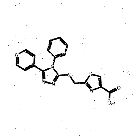 O=C(O)c1csc(CSc2nnc(-c3ccncc3)n2-c2ccccc2)n1